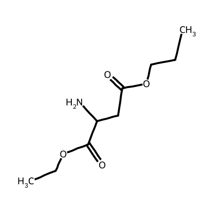 CCCOC(=O)CC(N)C(=O)OCC